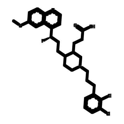 COc1ccc2nccc([C@@H](F)CCC3CCN(CCCc4cccc(Cl)c4Cl)CC3CCC(=O)O)c2c1